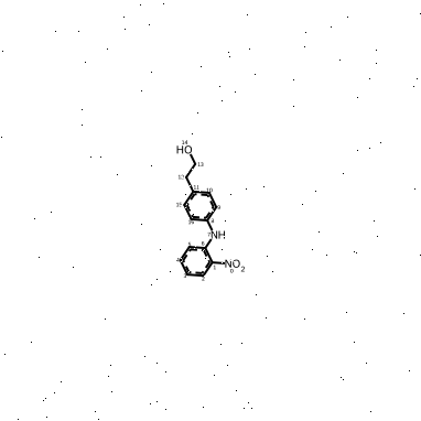 O=[N+]([O-])c1ccccc1Nc1ccc(CCO)cc1